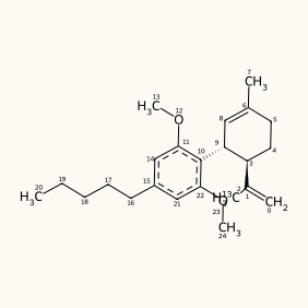 C=C([13CH3])[C@@H]1CCC(C)=C[C@H]1c1c(OC)cc(CCCCC)cc1OC